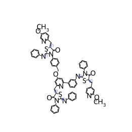 COc1ccc(/C=C2\S/C(=N\c3ccccc3)N(c3ccc(COc4cc(/C=C5\S/C(=N\c6ccccc6)N(c6ccccc6)C5=O)nc(-c5cccc(/N=C6\S/C(=C\c7ccnc(OC)c7)C(=O)N6c6ccccc6)c5)c4)cc3)C2=O)nc1